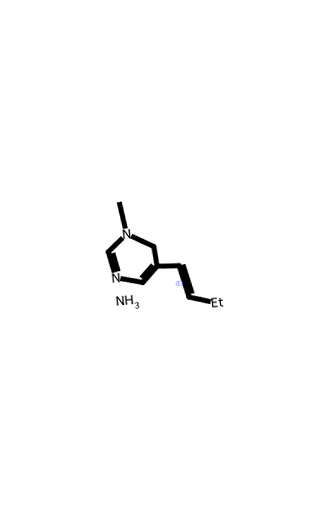 CC/C=C/C1=CN=CN(C)C1.N